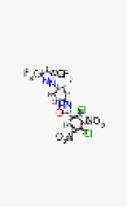 O=C(Nc1ccc(-n2nc(C(F)(F)F)cc2C(F)(F)F)cc1)c1cc([N+](=O)[O-])c(Cl)c([N+](=O)[O-])c1Cl